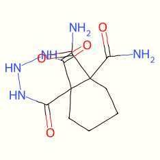 NC(=O)C1(C(N)=O)CCCCC12C(=O)NNNC2=O